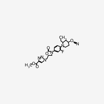 CCC1CC(OC#N)CCN1c1ccc(N2CC(Cn3cc(C(=O)OC)nn3)OC2=O)cc1F